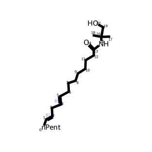 CCCCC/C=C/C/C=C/CCCCCCCC(=O)NC(C)(C)CO